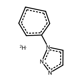 [2H].c1ccc(-n2ccnn2)cc1